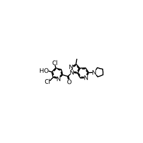 Cc1nn(C(=O)c2cc(Cl)c(O)c(Cl)n2)c2cnc(N3CCCC3)cc12